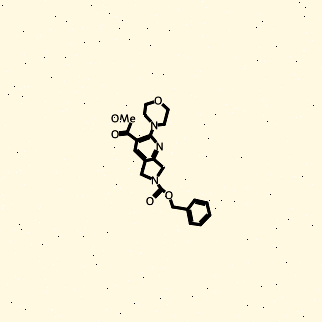 COC(=O)c1cc2c(nc1N1CCOCC1)CN(C(=O)OCc1ccccc1)C2